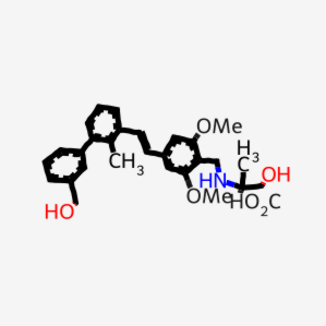 COc1cc(/C=C/c2cccc(-c3cccc(CO)c3)c2C)cc(OC)c1CNC(C)(CO)C(=O)O